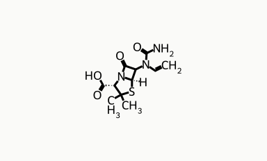 C=CN(C(N)=O)C1C(=O)N2[C@@H]1SC(C)(C)[C@@H]2C(=O)O